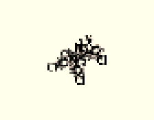 C[S+]([O-])c1c(-c2nnc(C3(c4ccc(Cl)cc4)CC3)o2)nn(-c2ccc(Cl)cc2Cl)c1-c1ccc(Cl)cc1